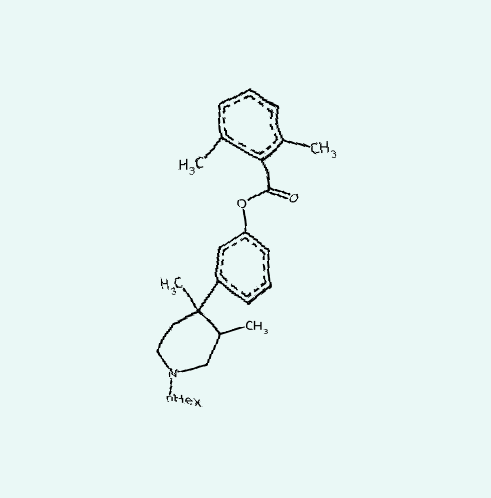 CCCCCCN1CCC(C)(c2cccc(OC(=O)c3c(C)cccc3C)c2)C(C)C1